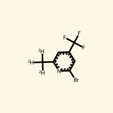 [2H]C([2H])([2H])c1cc(C(F)(F)F)cc(Br)n1